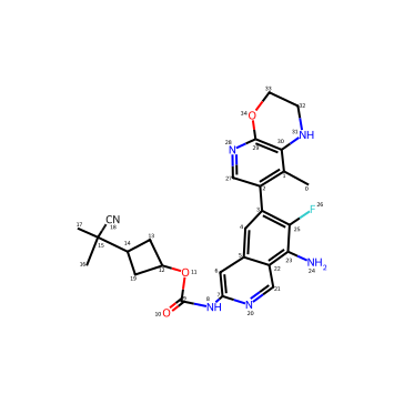 Cc1c(-c2cc3cc(NC(=O)OC4CC(C(C)(C)C#N)C4)ncc3c(N)c2F)cnc2c1NCCO2